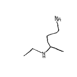 CCNC(C)CC[NH]